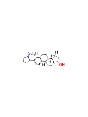 C[C@]12CC[C@@H]3c4ccc(C5CCCN5S(=O)(=O)O)cc4CC[C@H]3[C@@]13C[C@H]3C[C@@H]2O